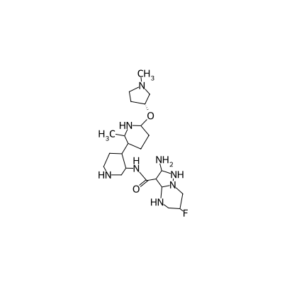 CC1NC(O[C@@H]2CCN(C)C2)CCC1C1CCNCC1NC(=O)C1C(N)NN2CC(F)CNC12